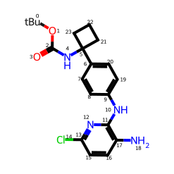 CC(C)(C)OC(=O)NC1(c2ccc(Nc3nc(Cl)ccc3N)cc2)CCC1